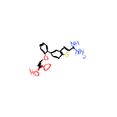 N=C(N)c1cc2cc(-c3ccccc3OCC(=O)O)ccc2s1